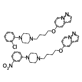 Clc1ccccc1N1CCN(CCCCOc2ccn3nccc3c2)CC1.O=[N+]([O-])c1cccc(N2CCN(CCCCOc3ccn4nccc4c3)CC2)c1